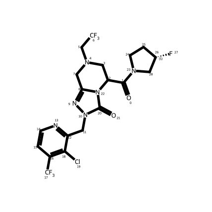 O=C(C1CN(CC(F)(F)F)Cc2nn(Cc3nccc(C(F)(F)F)c3Cl)c(=O)n21)N1CC[C@H](F)C1